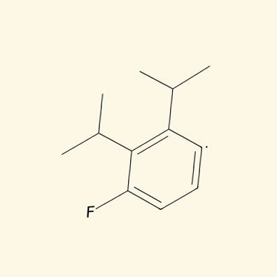 CC(C)c1[c]ccc(F)c1C(C)C